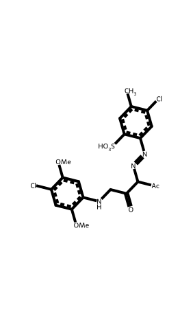 COc1cc(NCC(=O)C(/N=N/c2cc(Cl)c(C)cc2S(=O)(=O)O)C(C)=O)c(OC)cc1Cl